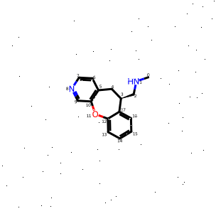 CNC[C@@H]1Cc2ccncc2Oc2ccccc21